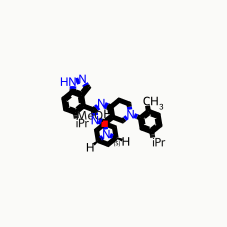 CO[C@@H]1C[C@@H]2C[C@H](C1)N2c1nc(-c2c(C(C)C)ccc3[nH]ncc23)nc2c1CN(c1cc(C(C)C)ccc1C)CC2